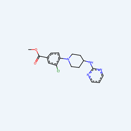 COC(=O)c1ccc(N2CCC(Nc3ncccn3)CC2)c(Cl)c1